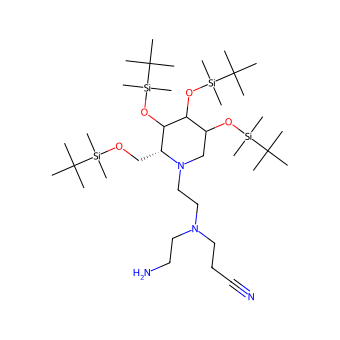 CC(C)(C)[Si](C)(C)OC[C@@H]1C(O[Si](C)(C)C(C)(C)C)C(O[Si](C)(C)C(C)(C)C)C(O[Si](C)(C)C(C)(C)C)CN1CCN(CCN)CCC#N